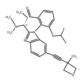 CC[C@H](c1nc2ccc(C#CC3(C)COC3)cc2n1-c1c(C=O)cccc1OC(F)F)N(C)C